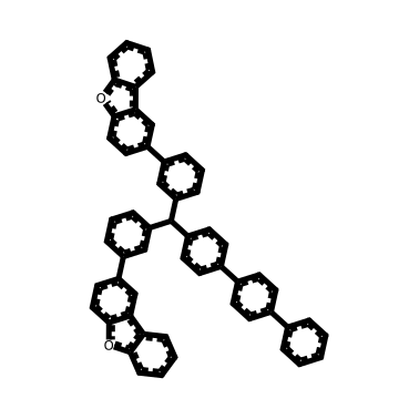 c1ccc(-c2ccc(-c3ccc(C(c4cccc(-c5ccc6oc7ccccc7c6c5)c4)c4cccc(-c5ccc6oc7ccccc7c6c5)c4)cc3)cc2)cc1